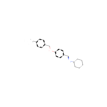 O=[N+]([O-])c1ccc(COc2ccc(C=NC3CCCCC3)cc2)cc1